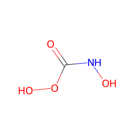 O=C(NO)OO